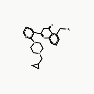 CCc1cccc2c1C(=O)CC(c1cccnc1N1CCN(CC3CC3)CC1)=N2